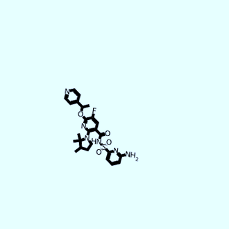 CC(Oc1nc(N2CCC(C)C2(C)C)c(C(=O)NS(=O)(=O)c2cccc(N)n2)cc1F)c1ccncc1